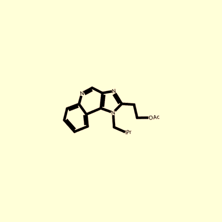 CC(=O)OCCc1nc2cnc3ccccc3c2n1CC(C)C